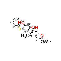 COC(=O)CCCC(C)(C)c1cc(Sc2ccccc2)c(O)cc1O